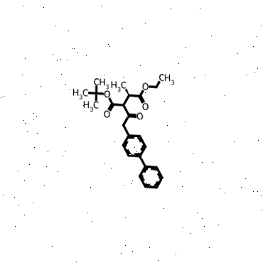 CCOC(=O)[C@H](C)C(C(=O)Cc1ccc(-c2ccccc2)cc1)C(=O)OC(C)(C)C